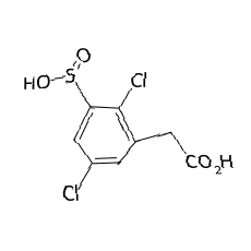 O=C(O)Cc1cc(Cl)cc(S(=O)O)c1Cl